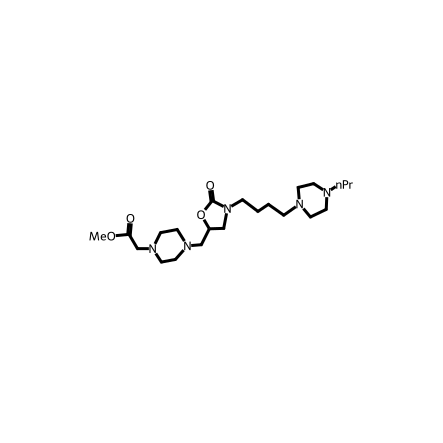 CCCN1CCN(CCCCN2CC(CN3CCN(CC(=O)OC)CC3)OC2=O)CC1